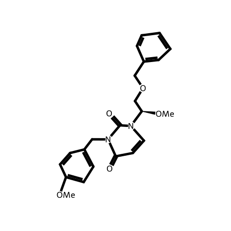 COc1ccc(Cn2c(=O)ccn([C@@H](COCc3ccccc3)OC)c2=O)cc1